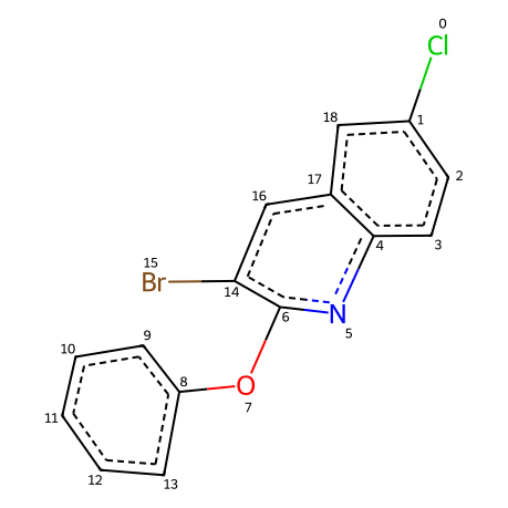 Clc1ccc2nc(Oc3ccccc3)c(Br)cc2c1